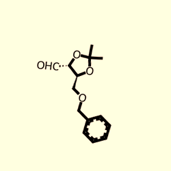 CC1(C)O[C@@H](C=O)[C@H](COCc2ccccc2)O1